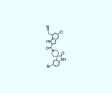 N#CCc1cc(Cl)cc2cc(C(=O)N3CCC4(CC3)C(=O)Nc3ccc(Br)cc34)[nH]c12